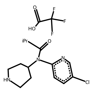 CC(C)C(=O)N(c1ccc(Cl)cn1)C1CCNCC1.O=C(O)C(F)(F)F